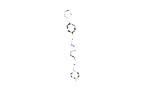 Oc1ccc(/N=N/C2=CC3SC(/N=N/c4ccc(N5CCCC5)cc4)=NC3S2)cc1